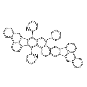 c1ccc(-c2cc3c(-c4ccccn4)c4c(c(-c5ccccn5)c3c3ccc5cc6c(cc5c23)-c2cccc3c2c-6cc2ccccc23)-c2cccc3c2c-4cc2ccccc23)cc1